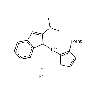 CCCC(C)C1=[C]([Ti+2][CH]2C(P(C)C)=Cc3ccccc32)CC=C1.[F-].[F-]